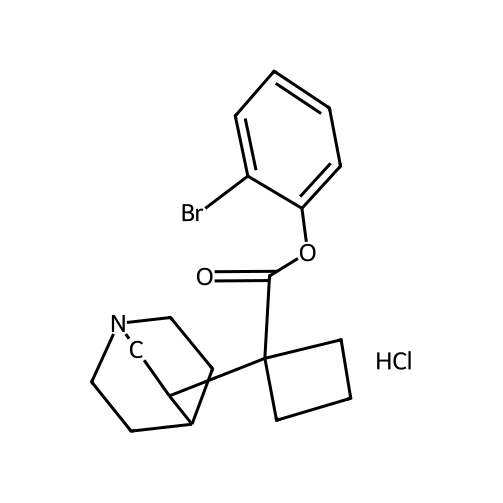 Cl.O=C(Oc1ccccc1Br)C1(C2CN3CCC2CC3)CCC1